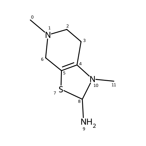 CN1CCC2=C(C1)SC(N)N2C